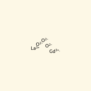 [Gd+3].[La+3].[O-2].[O-2].[O-2]